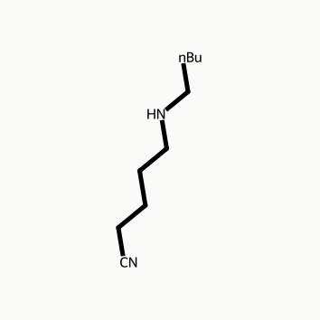 CCCCCNCCCCC#N